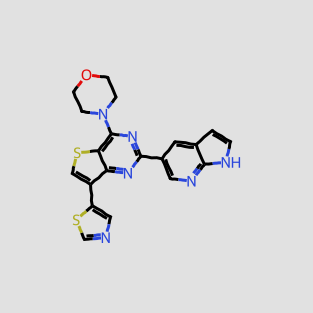 c1cc2cc(-c3nc(N4CCOCC4)c4scc(-c5cncs5)c4n3)cnc2[nH]1